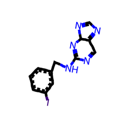 Ic1cccc(CNC2=NC3N=CN=C3C=N2)c1